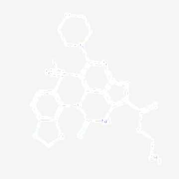 CCOC(=O)c1sc2nc(N3CCOCC3)c(C#N)c3c2c1NC(=O)N3c1c(CI)ccc2c1OCO2